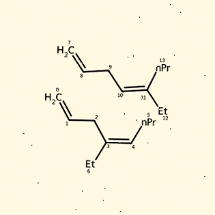 C=CCC(=CCCC)CC.C=CCC=C(CC)CCC